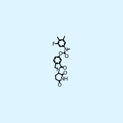 Cc1cc(N(C)C(=O)Oc2ccc3c(c2)C(=O)N(C2CCC(=O)NC2=O)C3)cc(F)c1C